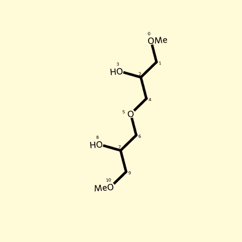 COCC(O)COCC(O)COC